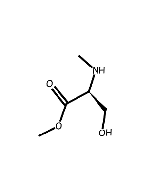 CN[C@@H](CO)C(=O)OC